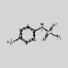 Cc1ccc(NS(C)(=O)=O)cc1